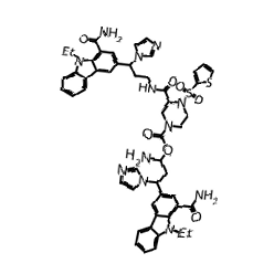 CCn1c2ccccc2c2cc(C(CCNC(=O)C3CN(C(=O)OC(N)CC(c4cc(C(N)=O)c5c(c4)c4ccccc4n5CC)n4ccnc4)CCN3S(=O)(=O)c3cccs3)n3ccnc3)cc(C(N)=O)c21